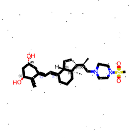 C=C1/C(=C/C=C2\CCC[C@]3(C)[C@@H]([C@@H](C)CN4CCN(S(C)(=O)=O)CC4)CC[C@@H]23)C[C@@H](O)C[C@@H]1O